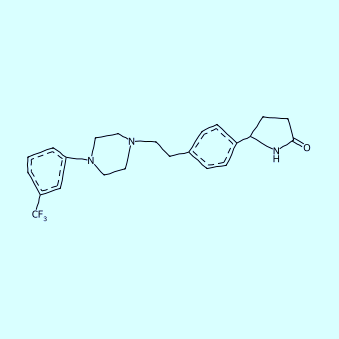 O=C1CCC(c2ccc(CCN3CCN(c4cccc(C(F)(F)F)c4)CC3)cc2)N1